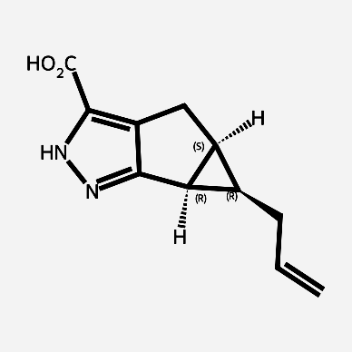 C=CC[C@@H]1[C@@H]2Cc3c(n[nH]c3C(=O)O)[C@H]12